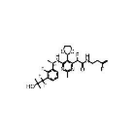 C=C(F)CCNC(=O)C(F)c1nc(C)nc(N[C@H](C)c2cccc(C(F)(F)C(C)(C)O)c2F)c1C1OCCO1